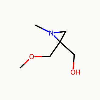 COCC1(CO)CN1C